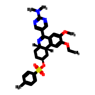 CCOc1cc2c(cc1OC)C(c1cnc(N(C)C)nc1)=N[C@@H]1CC[C@@H](OS(=O)(=O)c3ccc(C)cc3)C[C@H]21